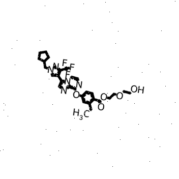 CCc1cc(Oc2nccn3c(-c4cn(CC5CCCC5)nc4C(F)(F)F)cnc23)ccc1C(=O)OCCOCCO